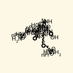 CCCC(=O)N[C@@H](CSCc1cccc(CSCCC(=O)NC(C(=O)N[C@@H](Cc2ccc(O)cc2)C(=O)N[C@@H](Cc2cnc[nH]2)C(=O)N[C@H](C(=O)N[C@@H](Cc2nc3ccccc3s2)C(=O)N[C@@H](CCC)C(=O)NCC(=O)NCC(=O)N[C@@H](CCC)C(N)=O)[C@@H](C)O)C(C)(C)C)c1)C(N)=O